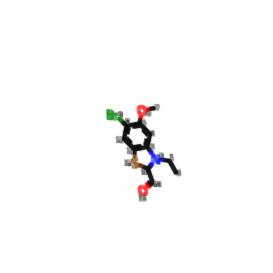 CCN1c2cc(OC)c(Br)cc2SC1C=O